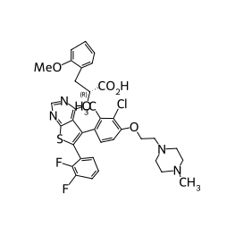 COc1ccccc1C[C@@H](Oc1ncnc2sc(-c3cccc(F)c3F)c(-c3ccc(OCCN4CCN(C)CC4)c(Cl)c3C)c12)C(=O)O